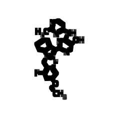 CCOc1cc(F)c(Cn2nc(-c3ncc(O)c(Nc4ccnc(C)n4)n3)c3ccccc32)c(F)c1